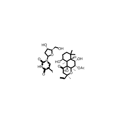 C=C[C@@]1(C)CC(=O)[C@]2(O)[C@@]3(C)[C@@H](O)CCC(C)(C)[C@@H]3[C@H](O)[C@H](OC(C)=O)[C@@]2(C)O1.O=c1[nH]c(=O)n(C2C[C@H](O)[C@@H](CO)O2)cc1I